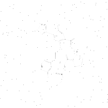 Cn1cc(-c2nc(NCCc3cccc(F)c3)c(C(=O)NC[C@H]3CCCN3C(=O)CNC(=O)OC(C)(C)C)cc2F)cn1